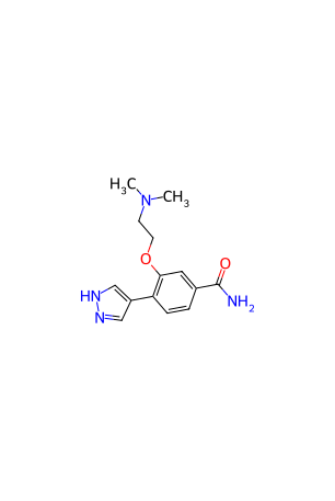 CN(C)CCOc1cc(C(N)=O)ccc1-c1cn[nH]c1